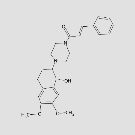 COc1cc2c(cc1OC)C(O)C(N1CCN(C(=O)C=Cc3ccccc3)CC1)CC2